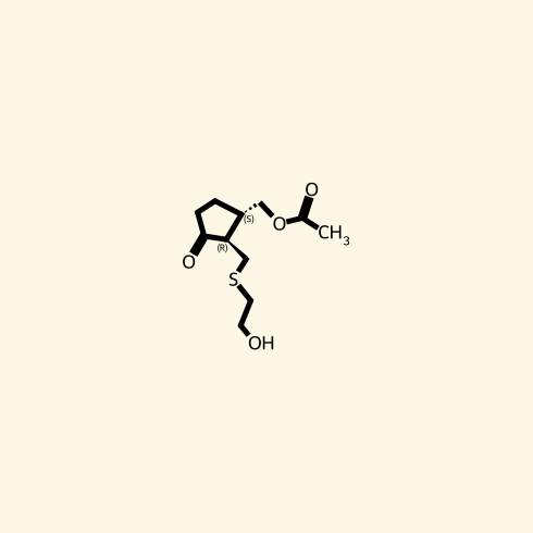 CC(=O)OC[C@H]1CCC(=O)[C@@H]1CSCCO